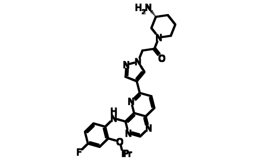 CC(C)Oc1cc(F)ccc1Nc1ncnc2ccc(-c3cnn(CC(=O)N4CCC[C@@H](N)C4)c3)nc12